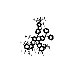 Cc1cc2c3c(c1)N(c1ccc4c(c1)C(C)(C)CCC4(C)C)c1cc4c(cc1C3c1ccc(N(c3ccccc3)c3ccccc3)cc1N2c1ccc2c(c1)sc1cc(C(C)(C)C)ccc12)C(C)(C)CCC4(C)C